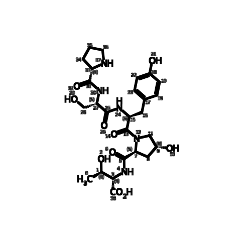 C[C@@H](O)[C@H](NC(=O)[C@@H]1C[C@@H](O)CN1C(=O)[C@H](Cc1ccc(O)cc1)NC(=O)[C@H](CO)NC(=O)[C@@H]1CCCN1)C(=O)O